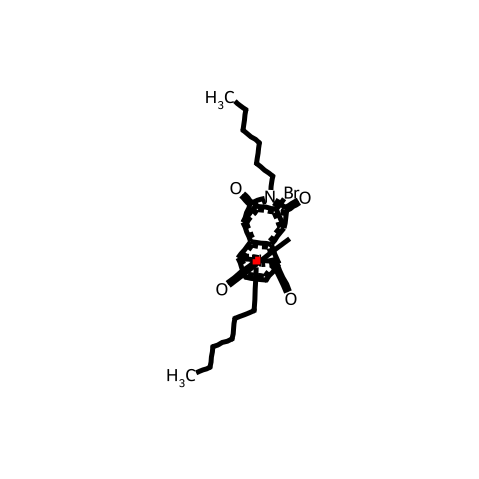 CCCCCCn1c(=O)c2ccc(c1=O)c1c3c(Br)cc(c(=O)n(CCCCCC)c3=O)c21